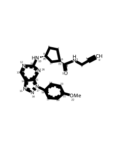 C#CCNC(=O)[C@H]1CC[C@@H](Nc2ncc3nnn(-c4ccc(OC)cc4)c3n2)C1